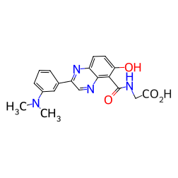 CN(C)c1cccc(-c2cnc3c(C(=O)NCC(=O)O)c(O)ccc3n2)c1